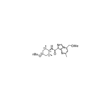 CCCCO[C@H]1C[C@@H](C)[C@@H](NC(=O)c2ncn3c(COC)cc(C)nc23)[C@@H](C)C1